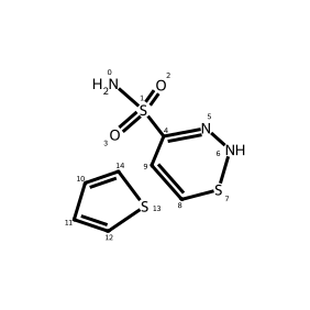 NS(=O)(=O)C1=NNSC=C1.c1ccsc1